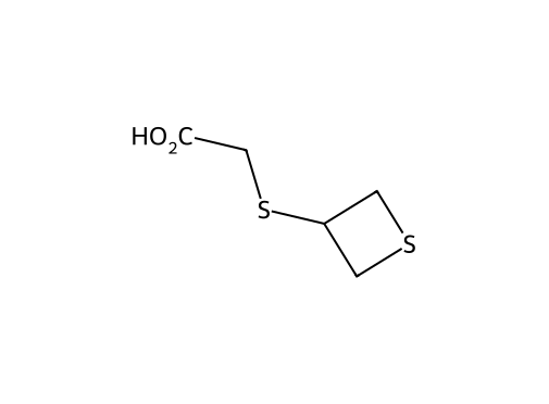 O=C(O)CSC1CSC1